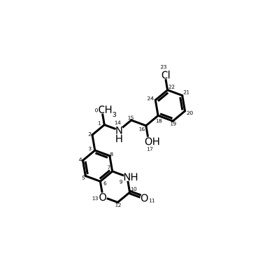 CC(Cc1ccc2c(c1)NC(=O)CO2)NCC(O)c1cccc(Cl)c1